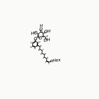 CCCCCC/C=C\CCCCCCCc1cccc(O[C@@H]2OC(CO)[C@@H](O)[C@H](O)C2O)c1